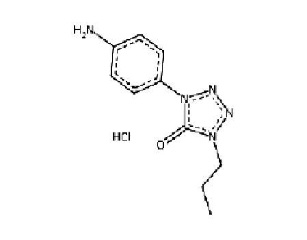 CCCn1nnn(-c2ccc(N)cc2)c1=O.Cl